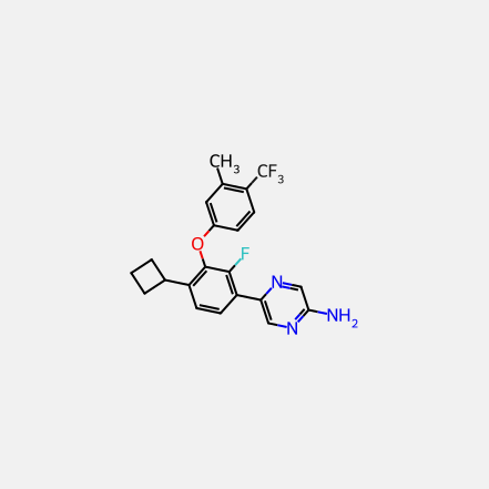 Cc1cc(Oc2c(C3CCC3)ccc(-c3cnc(N)cn3)c2F)ccc1C(F)(F)F